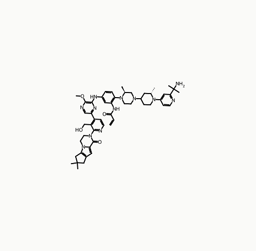 C=CC(=O)Nc1cc(Nc2nc(-c3ccnc(N4CCn5c(cc6c5CC(C)(C)C6)C4=O)c3CO)cnc2OC)ccc1N1CCN(C2CCN(c3ccnc(C(C)(C)N)c3)[C@@H](C)C2)C[C@@H]1C